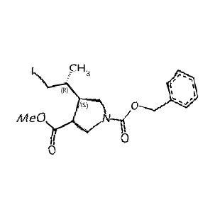 COC(=O)C1CN(C(=O)OCc2ccccc2)C[C@@H]1[C@@H](C)CI